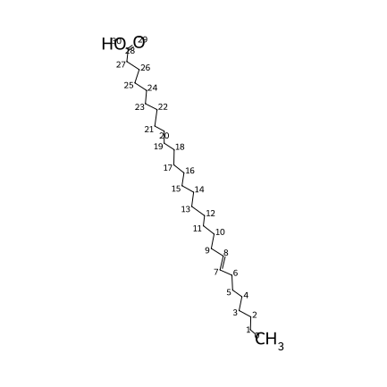 CCCCCCCC=CCCCCCCCCCCCCCCCCCCCC(=O)O